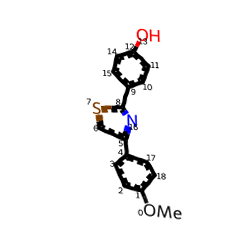 COc1ccc(-c2csc(-c3ccc(O)cc3)n2)cc1